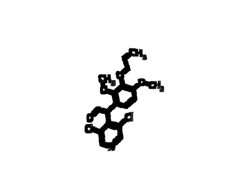 CCCOc1c(OC)ccc(C(C=O)c2c(Cl)cncc2Cl)c1OC